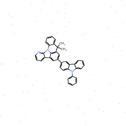 CC1(C)c2ccccc2-n2c3ncccc3c3cc(-c4ccc5c(c4)c4ccccc4n5-c4ccccc4)cc1c32